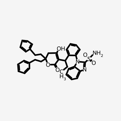 CCC(C1=C(O)CC(CCc2ccccc2)(CCc2ccccc2)OC1=O)c1ccccc1-n1c(S(N)(=O)=O)nc2ccccc21